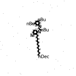 CCCCCCCCCCCCCCCCCC=CCCCc1ccccc1N=C(C=Nc1cc(CCCC)cc(CCCC)c1)CCCC.[Ni]